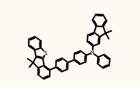 CC1(C)c2ccccc2-c2ccc(N(c3ccccc3)c3ccc(-c4ccc(-c5cccc6c5-c5sc7ccccc7c5C6(C)C)cc4)cc3)cc21